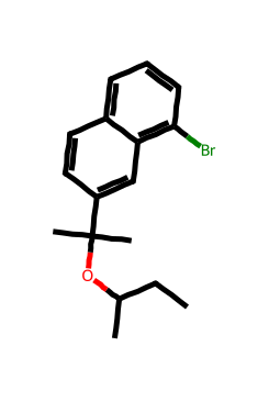 CCC(C)OC(C)(C)c1ccc2cccc(Br)c2c1